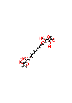 CC1COC(C(O)COCCCCCCCCCOCC(O)C2OCC(O)C2O)C1O